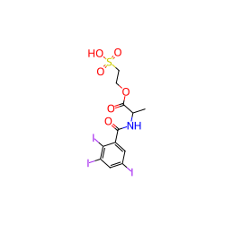 CC(NC(=O)c1cc(I)cc(I)c1I)C(=O)OCCS(=O)(=O)O